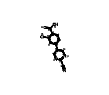 N#Cc1ncc(-c2ccc(C(=O)O)c(Cl)c2)cn1